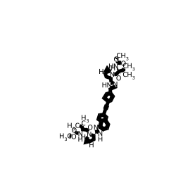 COC(=O)N[C@H](C(=O)N1C(c2ncc(-c3ccc(C#Cc4ccc5c(ccc6[nH]c([C@@H]7C[C@H]8C[C@H]8N7C(=O)[C@@H](NC(=O)OC)C(C)C)nc65)c4)cc3)[nH]2)C[C@H]2C[C@H]21)C(C)C